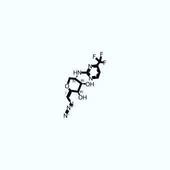 [N-]=[N+]=N/C=C1/OC[C@H](Nc2nccc(C(F)(F)F)n2)[C@@H](O)[C@H]1O